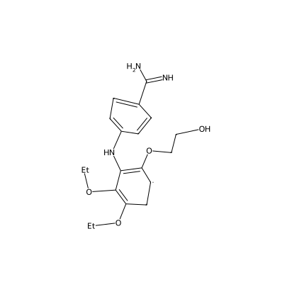 CCOC1=C(OCC)C(Nc2ccc(C(=N)N)cc2)=C(OCCO)[CH]C1